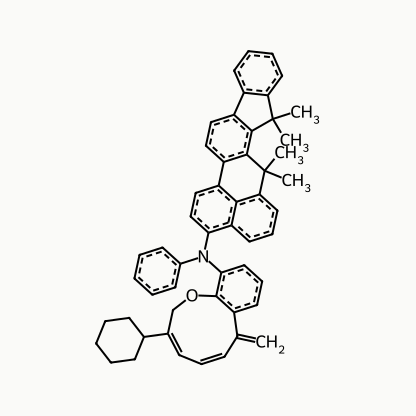 C=C1/C=C\C=C(\C2CCCCC2)COc2c1cccc2N(c1ccccc1)c1ccc2c3c(cccc13)C(C)(C)c1c-2ccc2c1C(C)(C)c1ccccc1-2